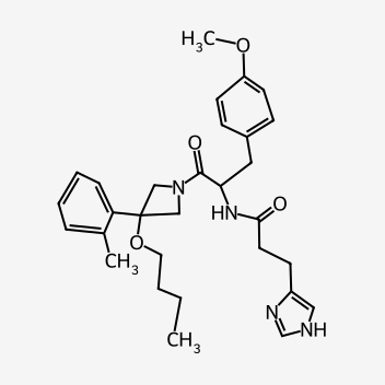 CCCCOC1(c2ccccc2C)CN(C(=O)C(Cc2ccc(OC)cc2)NC(=O)CCc2c[nH]cn2)C1